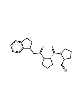 O=C[C@@H]1CCCN1C(=O)[C@@H]1CCCN1C(=O)CC1CCc2ccccc21